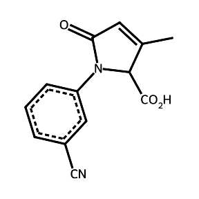 CC1=CC(=O)N(c2cccc(C#N)c2)C1C(=O)O